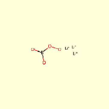 [Li+].[Li+].[Li+].[O-]OB([O-])[O-]